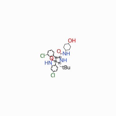 CC(C)(C)C[C@H]1N[C@@H](C(=O)NC2CCC(O)CC2)[C@H](c2cccc(Cl)c2)[C@@]12C(=O)Nc1cc(Cl)ccc12